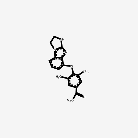 COC(=O)c1cc(C)c(Oc2cccc3c2nc2n3CCN2)c(C)c1